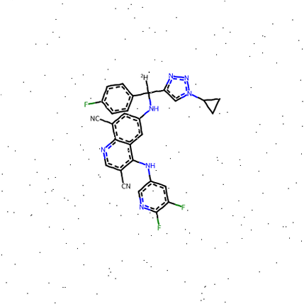 [2H]C(Nc1cc(C#N)c2ncc(C#N)c(Nc3cnc(F)c(F)c3)c2c1)(c1ccc(F)cc1)c1cn(C2CC2)nn1